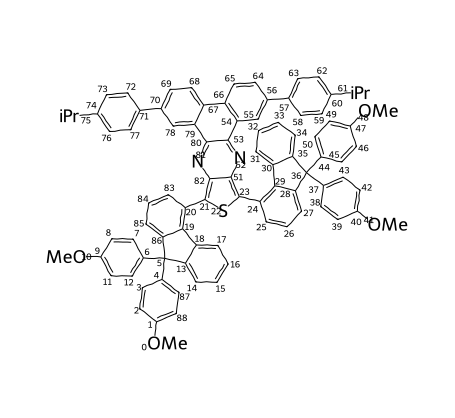 COc1ccc(C2(c3ccc(OC)cc3)c3ccccc3-c3c(-c4sc(-c5cccc6c5-c5ccccc5C6(c5ccc(OC)cc5)c5ccc(OC)cc5)c5nc6c7cc(-c8ccc(C(C)C)cc8)ccc7c7ccc(-c8ccc(C(C)C)cc8)cc7c6nc45)cccc32)cc1